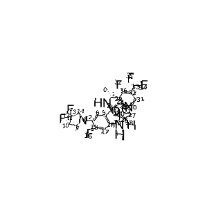 C[C@@H](NC(=O)c1cc(N2CCC(F)(F)C2)c(F)cc1N[C@H]1CN2CCC1CC2)c1cccc(C(F)F)c1F